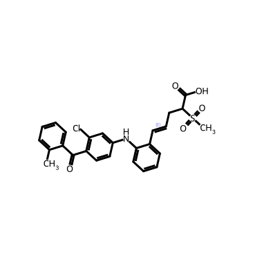 Cc1ccccc1C(=O)c1ccc(Nc2ccccc2/C=C/CC(C(=O)O)S(C)(=O)=O)cc1Cl